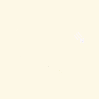 CSc1ccc2c(c1)/C(=C\C#N)CCC2